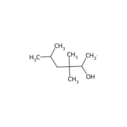 [CH2]C(O)C(C)(C)CC(C)C